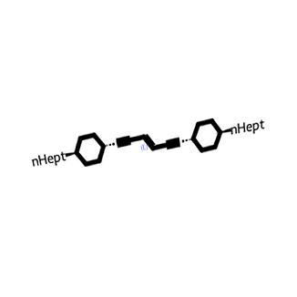 CCCCCCC[C@H]1CC[C@H](C#C/C=C/C#C[C@H]2CC[C@H](CCCCCCC)CC2)CC1